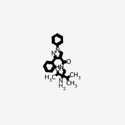 CC(C)C(N)(CNC(=O)c1cn(-c2ccccc2)nc1-c1ccccc1)C(C)C